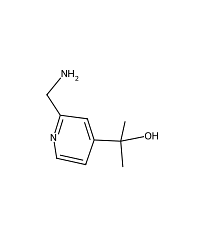 CC(C)(O)c1ccnc(CN)c1